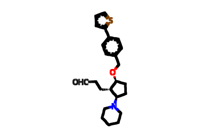 O=CCC[C@H]1[C@H](N2CCCCC2)CC[C@H]1OCc1ccc(-c2cccs2)cc1